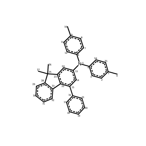 Cc1ccc(N(c2ccc(C)cc2)c2cc(-c3ccccc3)c3c(c2)C(C)(C)c2ccccc2-3)cc1